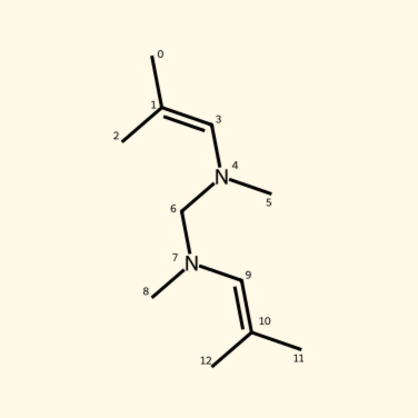 CC(C)=CN(C)CN(C)C=C(C)C